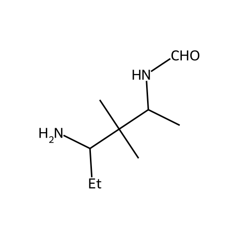 CCC(N)C(C)(C)C(C)NC=O